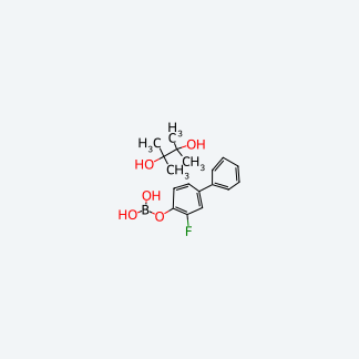 CC(C)(O)C(C)(C)O.OB(O)Oc1ccc(-c2ccccc2)cc1F